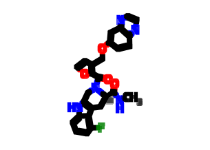 CNC(=O)[C@H]1Cc2c([nH]c3cccc(F)c23)CN1C(=O)c1occc1COc1ccc2nccnc2c1